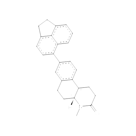 CN1C(=O)CC[C@]2(C)c3ccc(-c4ccc5c6c(cccc46)CC5)cc3CC[C@@H]12